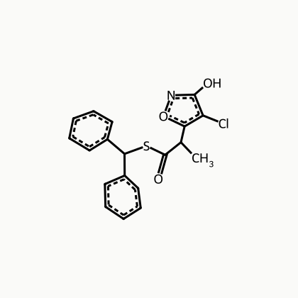 CC(C(=O)SC(c1ccccc1)c1ccccc1)c1onc(O)c1Cl